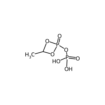 CC1OP(=O)(OP(=O)(O)O)O1